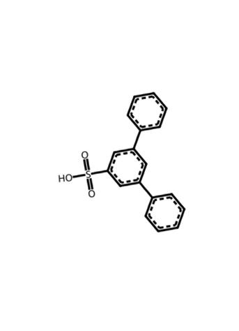 O=S(=O)(O)c1cc(-c2ccccc2)cc(-c2ccccc2)c1